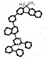 CC1(C)c2ccc(-c3cccc(-c4ccc(-c5cc(-c6ccccc6-c6ccccc6)nc(-c6ccccc6)n5)c5ccccc45)c3)cc2-c2cc3ccccc3cc21